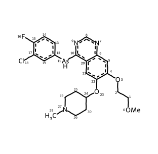 COCCOc1cc2ncnc([AsH]c3ccc(F)c(Cl)c3)c2cc1OC1CCN(C)CC1